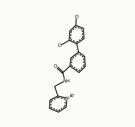 O=C(NCc1cccc[n+]1[O-])c1cccc(-c2ccc(Cl)cc2Cl)c1